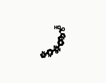 O=C(O)C[C@@H]1CCn2c1cc1cc(-c3noc(-c4ccc(-n5cccn5)nc4)n3)ccc12